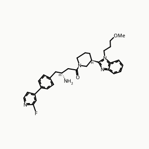 COCCCn1c([C@@H]2CCCN(C(=O)C[C@H](N)Cc3ccc(-c4ccnc(F)c4)cc3)C2)nc2ccccc21